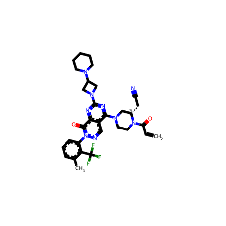 C=CC(=O)N1CCN(c2nc(N3CC(N4CCCCC4)C3)nc3c(=O)n(-c4cccc(C)c4C(F)(F)F)ncc23)C[C@@H]1CC#N